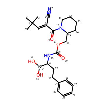 CC(C)(C)C=C(C#N)C(=O)N1CCCCC1COC(=O)NC(CCc1ccccc1)B(O)O